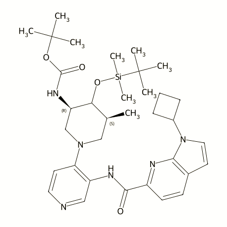 C[C@H]1CN(c2ccncc2NC(=O)c2ccc3ccn(C4CCC4)c3n2)C[C@@H](NC(=O)OC(C)(C)C)C1O[Si](C)(C)C(C)(C)C